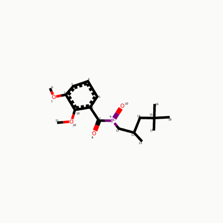 COc1cccc(C(=O)[P](=O)CC(C)CC(C)(C)C)c1OC